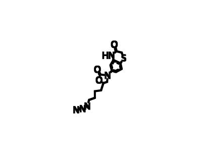 [N-]=[N+]=NCCCCC1CN(c2ccc3c(c2)NC(=O)CS3)C(=O)O1